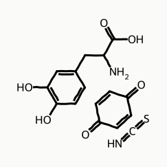 N=C=S.NC(Cc1ccc(O)c(O)c1)C(=O)O.O=C1C=CC(=O)C=C1